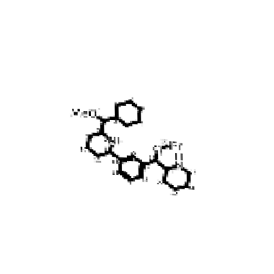 COC(C1CCCCC1)C1CCCC(c2cccc(C(OC(C)C)C3CCCCN3)c2)N1